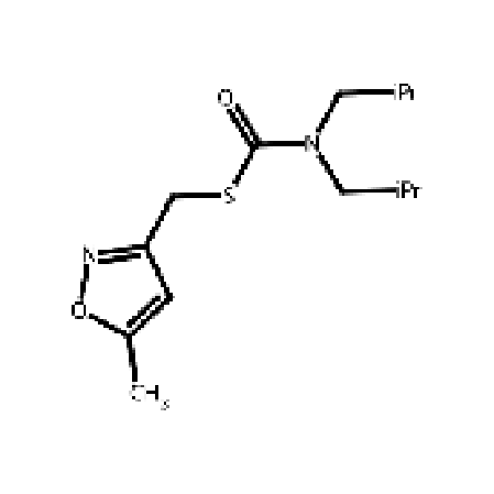 Cc1cc(CSC(=O)N(CC(C)C)CC(C)C)no1